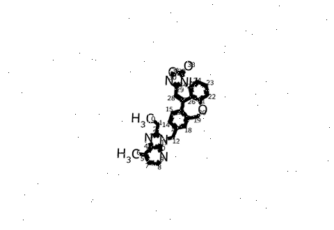 CCc1nc2c(C)ccnc2n1Cc1ccc2c(c1)COc1ccccc1C2=Cc1noc(=O)[nH]1